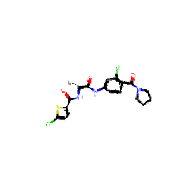 C[C@@H](NC(=O)c1ccc(Cl)s1)C(=O)Nc1ccc(C(=O)N2CCCC2)c(Cl)c1